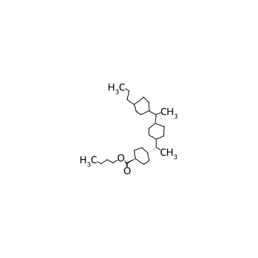 CCCCOC(=O)[C@H]1CC[C@H](C(C)C2CCC(C(C)C3CCC(CCC)CC3)CC2)CC1